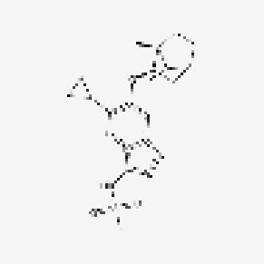 CC1(C)C2CC[C@@]1(C)[C@H](Oc1cc3nnc(NS(C)(=O)=O)n3cc1C1CC1)C2